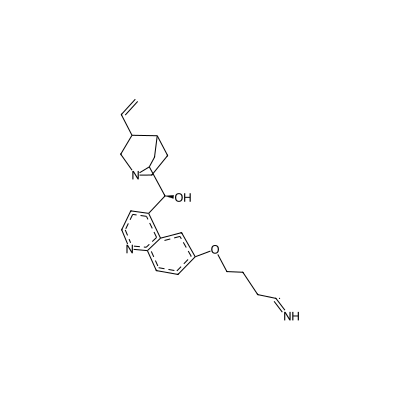 C=CC1CN2CCC1CC2[C@@H](O)c1ccnc2ccc(OCCC[C]=N)cc12